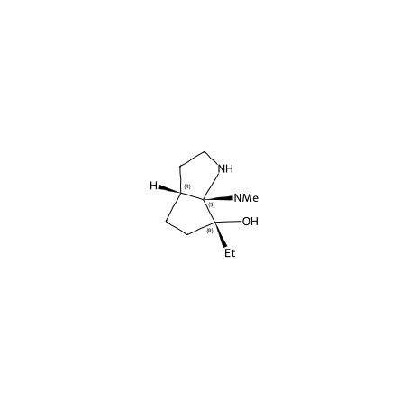 CC[C@@]1(O)CC[C@@H]2CCN[C@@]21NC